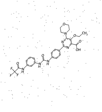 CCOc1c(C(=O)O)nc(-c2ccc(NC(=O)Nc3cccc(NC(=O)C(F)(F)F)c3)cc2)nc1N1CCOCC1